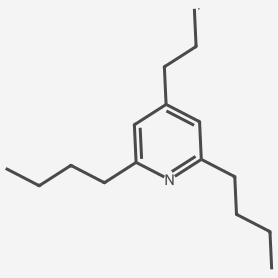 [CH2]CCc1cc(CCCC)nc(CCCC)c1